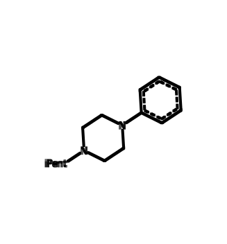 CCCC(C)N1CCN(c2ccccc2)CC1